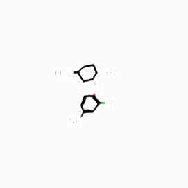 CC1CC[C@H](C(C)C)[C@@H](Oc2ccc(C#N)cc2Cl)C1